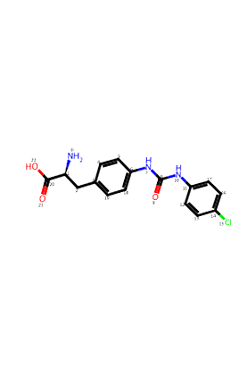 N[C@@H](Cc1ccc(NC(=O)Nc2ccc(Cl)cc2)cc1)C(=O)O